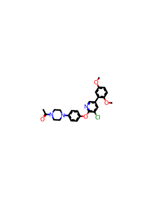 COc1ccc(OC)c(-c2cnc(Oc3ccc(N4CCN(C(C)=O)CC4)cc3)c(Cl)c2)c1